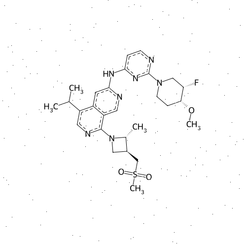 CO[C@@H]1CCN(c2nccc(Nc3cc4c(C(C)C)cnc(N5C[C@H](CS(C)(=O)=O)[C@H]5C)c4cn3)n2)C[C@@H]1F